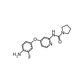 Nc1ccc(Oc2ccnc(NC(=O)N3CCCC3)c2)cc1F